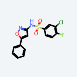 O=S(=O)(Nc1cc(-c2ccccc2)on1)c1ccc(F)c(Cl)c1